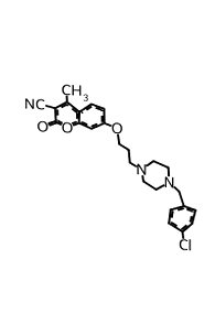 Cc1c(C#N)c(=O)oc2cc(OCCCN3CCN(Cc4ccc(Cl)cc4)CC3)ccc12